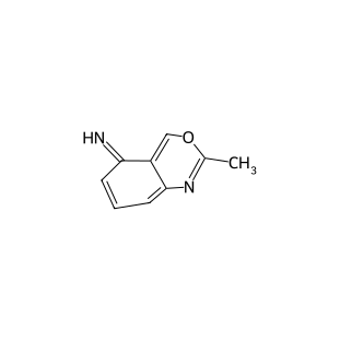 Cc1nc2cccc(=N)c-2co1